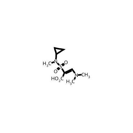 CN(C)/C=C(\C(=O)O)S(=O)(=O)N(C)C1CC1